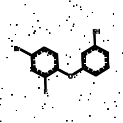 Fc1cc(Br)ccc1Oc1cccc(S)c1